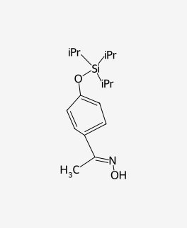 CC(=NO)c1ccc(O[Si](C(C)C)(C(C)C)C(C)C)cc1